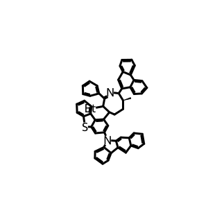 CCC1/C(c2ccccc2)=N\C(c2cc3ccccc3c3ccccc23)[C@@H](C)CCC1c1cc(-n2c3ccccc3c3cc4ccccc4cc32)cc2sc3ccccc3c12